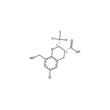 O=C(O)[C@@H]1Cc2cc(Cl)cc(CO)c2O[C@@H]1C(F)(F)F